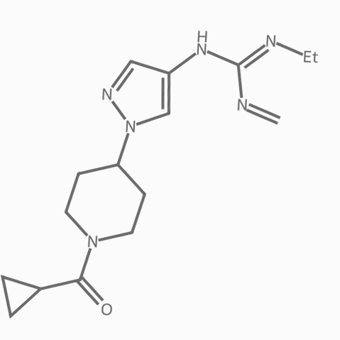 C=N/C(=N\CC)Nc1cnn(C2CCN(C(=O)C3CC3)CC2)c1